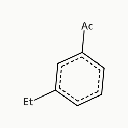 [CH2]C(=O)c1cccc(CC)c1